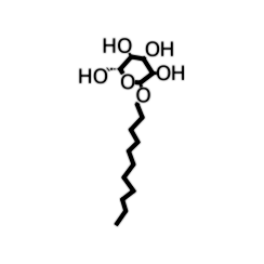 CCCCCCCCCCCO[C@H]1O[C@H](CO)[C@H](O)[C@@H](O)[C@H]1O